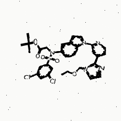 CCOCn1ccnc1-c1ccnc(-n2ccc3cc(N(CC(=O)OC(C)(C)C)S(=O)(=O)c4cc(Cl)cc(Cl)c4)ccc32)c1